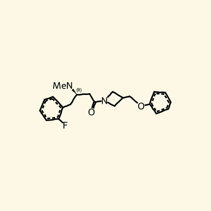 CN[C@@H](CC(=O)N1CC(COc2ccccc2)C1)Cc1ccccc1F